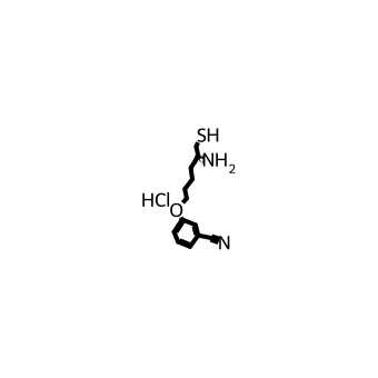 Cl.N#Cc1cccc(OCCCC[C@@H](N)CS)c1